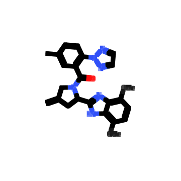 C=C1CC(c2nc3c(OC)ccc(OC)c3[nH]2)N(C(=O)c2cc(C)ccc2-n2nccn2)C1